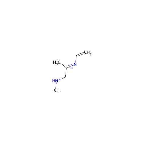 C=C/N=C(\C)CNC